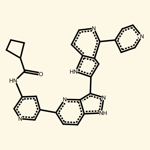 O=C(Nc1cncc(-c2ccc3[nH]nc(-c4cc5c(-c6ccncc6)nccc5[nH]4)c3n2)c1)C1CCC1